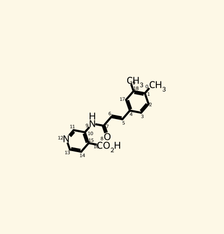 Cc1ccc(/C=C/C(=O)Nc2cnccc2C(=O)O)cc1C